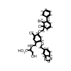 O=C(O)C(CO)NCc1cc(Cl)c(OCC2(Cl)C=CC=C(c3ccccc3)C2Br)cc1OCc1ccc2nonc2c1